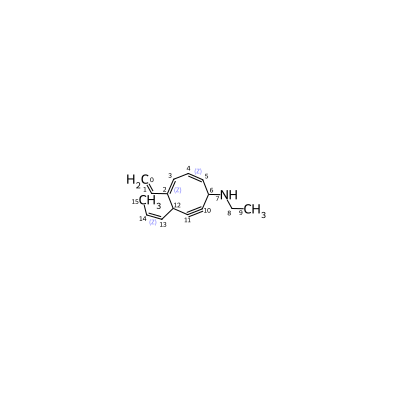 C=C/C1=C/C=C\C(NCC)C#CC1/C=C\C